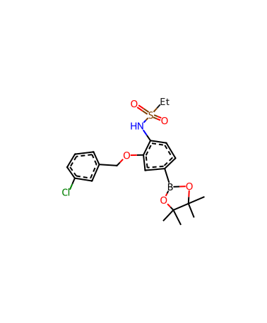 CCS(=O)(=O)Nc1ccc(B2OC(C)(C)C(C)(C)O2)cc1OCc1cccc(Cl)c1